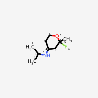 CC(C)NC1CCOC(C)(F)C1